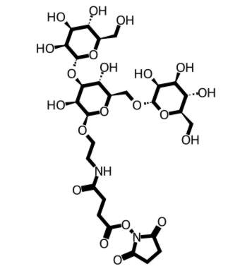 O=C(CCC(=O)ON1C(=O)CCC1=O)NCCO[C@@H]1O[C@H](CO[C@H]2O[C@H](CO)[C@@H](O)[C@H](O)[C@@H]2O)[C@@H](O)[C@H](O[C@H]2O[C@H](CO)[C@@H](O)[C@H](O)[C@@H]2O)[C@@H]1O